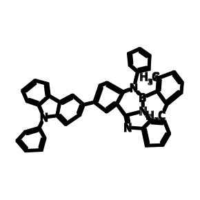 Cc1cccc(C)c1B1N(c2ccccc2)c2ccc(-c3ccc4c(c3)c3ccccc3n4-c3ccccc3)cc2-c2nc3ccccc3n21